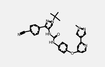 Cn1cc(-c2cc(Oc3ccc(NC(=O)Nc4cn(C(C)(C)C)nc4-c4ccc(C#N)cc4)cc3)ccn2)cn1